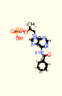 CC(Cn1cnc2c(NC(=O)c3ccccc3)ncnc21)OO[PH](=O)O